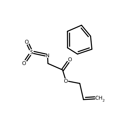 C=CCOC(=O)CN=S(=O)=O.c1ccccc1